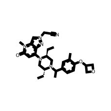 CC[C@H]1CN(C(C)c2ccc(OC3COC3)c(C)c2)[C@H](CC)CN1c1cc(=O)n(C)c2cn(CC#N)nc12